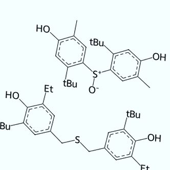 CCc1cc(CSCc2cc(CC)c(O)c(C(C)(C)C)c2)cc(C(C)(C)C)c1O.Cc1cc([S+]([O-])c2cc(C)c(O)cc2C(C)(C)C)c(C(C)(C)C)cc1O